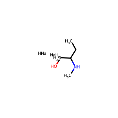 CCC(NC)[SiH2]O.[NaH].[NaH]